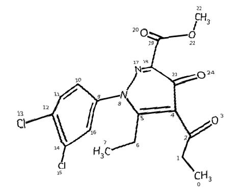 CCC(=O)c1c(CC)n(-c2ccc(Cl)c(Cl)c2)nc(C(=O)OC)c1=O